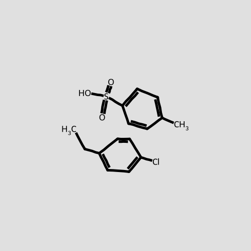 CCc1ccc(Cl)cc1.Cc1ccc(S(=O)(=O)O)cc1